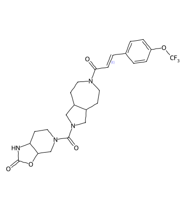 O=C1NC2CCN(C(=O)N3CC4CCN(C(=O)/C=C/c5ccc(OC(F)(F)F)cc5)CCC4C3)CC2O1